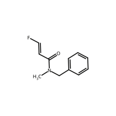 CN(Cc1ccccc1)C(=O)/C=C/F